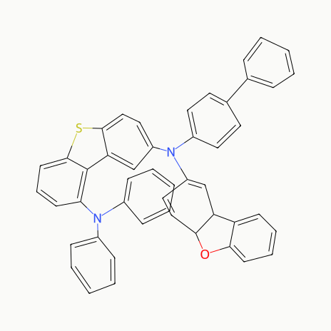 C1=CC2Oc3ccccc3C2C=C1N(c1ccc(-c2ccccc2)cc1)c1ccc2sc3cccc(N(c4ccccc4)c4ccccc4)c3c2c1